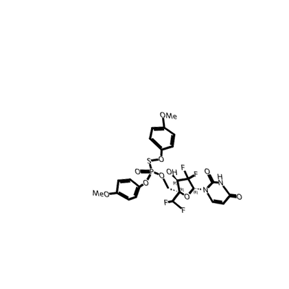 COc1ccc(OSP(=O)(OC[C@@]2(C(F)F)O[C@@H](n3ccc(=O)[nH]c3=O)C(F)(F)[C@@H]2O)Oc2ccc(OC)cc2)cc1